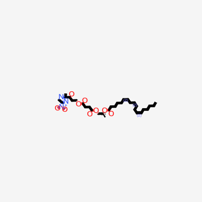 CCCCC/C=C\C/C=C\C/C=C\CCCCC(=O)O[C@@H](C)COC(=O)CCC(=O)OCCC(=O)C1(C)N=CC([N+](=O)[O-])=N1